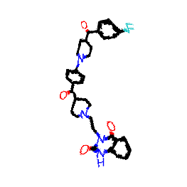 O=C(c1ccc(N2CCC(C(=O)c3ccc(F)cc3)CC2)cc1)C1CCN(CCn2c(=O)[nH]c3ccccc3c2=O)CC1